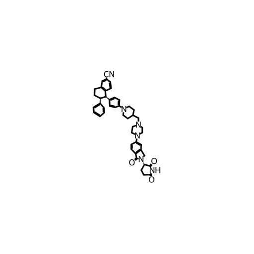 N#Cc1ccc2c(c1)CC[C@H](c1ccccc1)[C@@H]2c1ccc(N2CCC(CN3CCN(c4ccc5c(c4)CN([C@H]4CCC(=O)NC4=O)C5=O)CC3)CC2)cc1